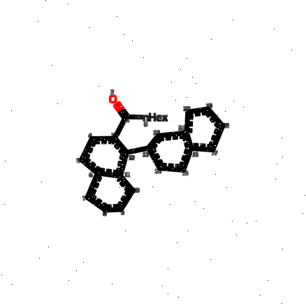 CCCCCCC(=O)c1ccc2ccccc2c1-c1ccc2ccccc2c1